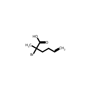 C=CCCC(C)(Br)C(=O)O